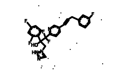 OC(Cn1cn[nH]1)(c1ccc(F)cc1F)C(F)(F)c1ccc(C#CCc2cccc(F)c2)cn1